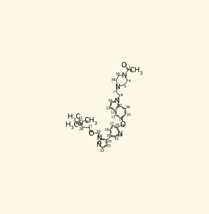 CC(=O)N1CCN(CCn2ccc3cc(Oc4ccc(-c5ccnn5COCC[Si](C)(C)C)cn4)ccc32)CC1